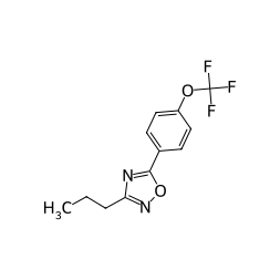 CCCc1noc(-c2ccc(OC(F)(F)F)cc2)n1